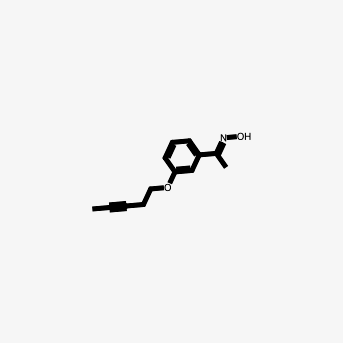 CC#CCCOc1cccc(C(C)=NO)c1